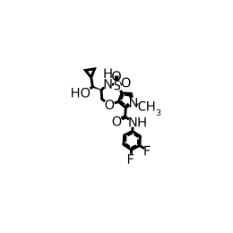 Cn1cc2c(c1C(=O)Nc1ccc(F)c(F)c1)OC[C@@H](C(O)C1CC1)NS2(=O)=O